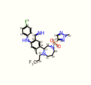 Cc1cc(Nc2ccc(F)cc2)c(C=N)cc1C1CN(S(=O)(=O)c2cnn(C)n2)CCCN1CCC(F)(F)F